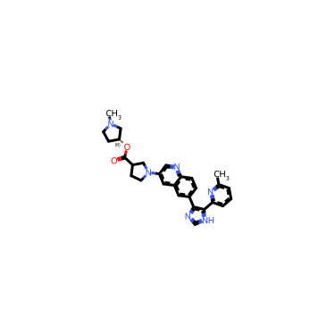 Cc1cccc(-c2[nH]cnc2-c2ccc3ncc(N4CCC(C(=O)O[C@@H]5CCN(C)C5)C4)cc3c2)n1